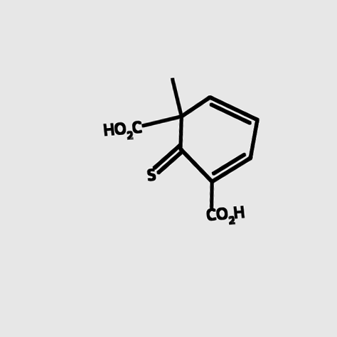 CC1(C(=O)O)C=CC=C(C(=O)O)C1=S